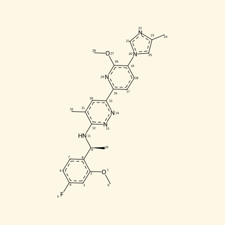 COc1cc(F)ccc1[C@H](C)Nc1nnc(-c2ccc(-n3cnc(C)c3)c(OC)n2)cc1C